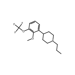 CCCN1CCC(c2cccc(OC(F)(F)F)c2OC)CC1